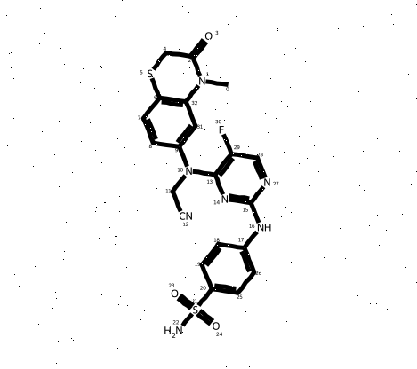 CN1C(=O)CSc2ccc(N(CC#N)c3nc(Nc4ccc(S(N)(=O)=O)cc4)ncc3F)cc21